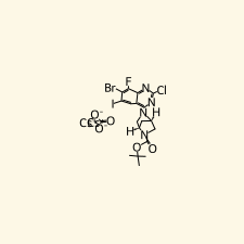 CC(C)(C)OC(=O)N1C[C@@H]2C[C@H]1CN2c1nc(Cl)nc2c(F)c(Br)c(I)cc12.O=C([O-])[O-].[Cs+].[Cs+]